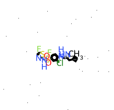 CN[C@H](CNc1cc(F)c(S(=O)(=O)Nc2ncc(F)s2)cc1Cl)CC12CC(C1)C2